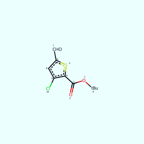 CC(C)(C)OC(=O)c1sc(C=O)cc1Cl